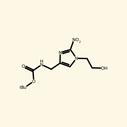 CC(C)(C)OC(=O)NCc1cn(CCO)c([N+](=O)[O-])n1